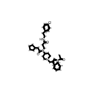 CC(=O)n1cc(CN2CCC(N(CCC(=O)NCCc3ccc(Cl)cc3)C(=O)CC3CCCC3)CC2)c2ccccc21